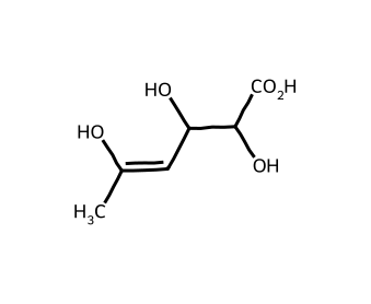 CC(O)=CC(O)C(O)C(=O)O